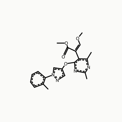 COC=C(C(=O)OC)c1c(C)nc(C)nc1Oc1cnn(-c2ccccc2C)c1